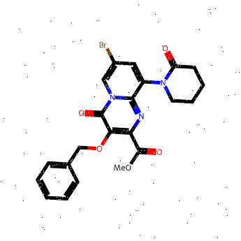 COC(=O)c1nc2c(N3CCCCC3=O)cc(Br)cn2c(=O)c1OCc1ccccc1